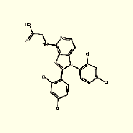 O=C(O)CNc1ncnc2c1nc(-c1ccc(Cl)cc1Cl)n2-c1ccc(Cl)cc1Cl